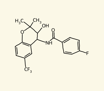 CC1(C)Oc2ccc(C(F)(F)F)cc2C(NC(=O)c2ccc(F)cc2)C1O